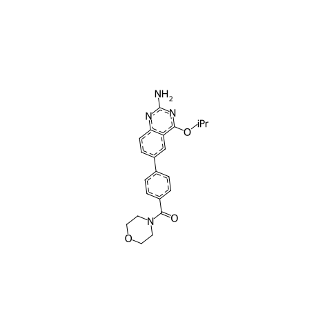 CC(C)Oc1nc(N)nc2ccc(-c3ccc(C(=O)N4CCOCC4)cc3)cc12